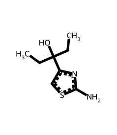 CCC(O)(CC)c1csc(N)n1